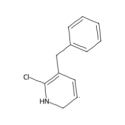 ClC1=C(Cc2ccccc2)C=[C]CN1